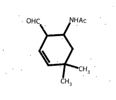 CC(=O)NC1CC(C)(C)C=CC1C=O